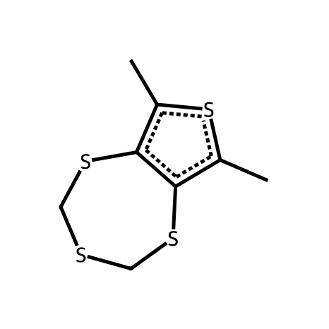 Cc1sc(C)c2c1SCSCS2